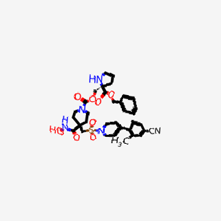 Cc1cc(C#N)ccc1C1=CCN(S(=O)(=O)CC2(C(=O)NO)CCN(C(=O)OC[C@@]3(C(=O)OCc4ccccc4)CCCN3)CC2)CC1